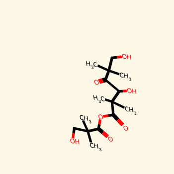 CC(C)(CO)C(=O)OC(=O)C(C)(C)C(O)C(=O)C(C)(C)CO